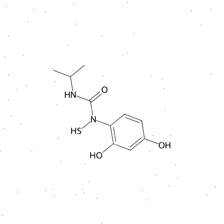 CC(C)NC(=O)N(S)c1ccc(O)cc1O